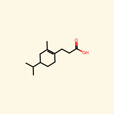 CC1=C(CCC(=O)O)CCC(C(C)C)C1